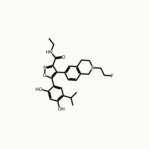 CCNC(=O)c1noc(-c2cc(C(C)C)c(O)cc2O)c1-c1ccc2c(c1)CCN(CCF)C2